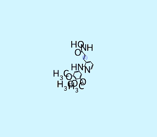 COc1cc(Nc2ncccc2/C=C/C(=O)NO)cc(OC)c1OC